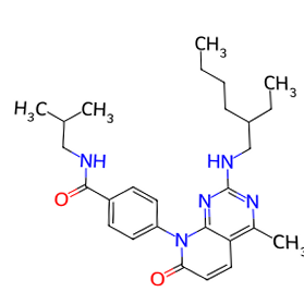 CCCCC(CC)CNc1nc(C)c2ccc(=O)n(-c3ccc(C(=O)NCC(C)C)cc3)c2n1